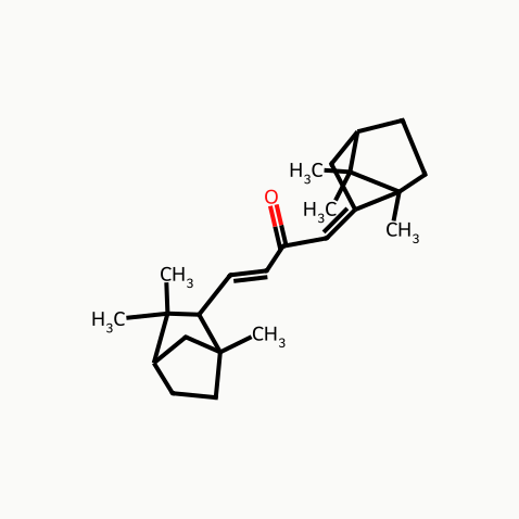 CC12CCC(C1)C(C)(C)C2C=CC(=O)C=C1CC2CCC1(C)C2(C)C